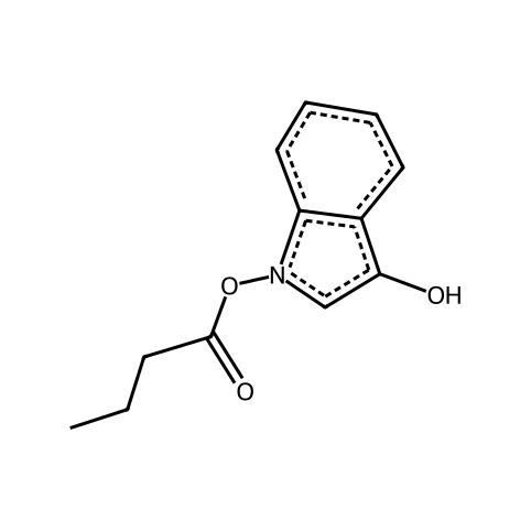 CCCC(=O)On1cc(O)c2ccccc21